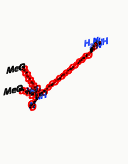 COCCOCCOCCOCCNC(=O)CCOCC(COCCC(=O)CCCOCCOCCOCCOCCOCCOCCOCCOCCOCCOCCOCCOCCC(=O)CCc1ccc(COc2nc(N)nc3[nH]cnc23)cc1)(COCCC(=O)NCCOCCOCCOCCOCCOCCOCCOCCOC)NC(=O)CCCCCN1C(=O)C=CC1=O